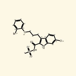 CS(=O)(=O)NC(=O)c1[nH]c2cc(Cl)ccc2c1CCCOc1ccccc1Br